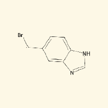 Br[CH]c1ccc2[nH]cnc2c1